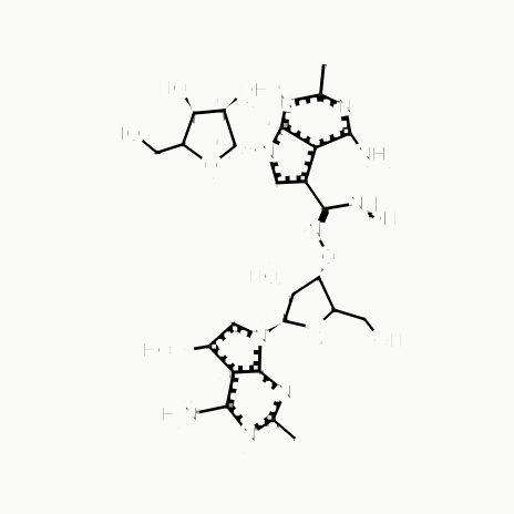 Cc1nc(N)c2c(/C(=N/O[C@@H]3C(CO)O[C@@H](n4cc(S(=O)(=O)O)c5c(N)nc(C)nc54)[C@@H]3O)NO)cn([C@@H]3OC(CO)[C@@H](O)[C@H]3O)c2n1